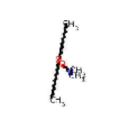 CCCCCCCCCCCCCCOC(CCCCCCCCCCCCCC)OCCCN(C)C